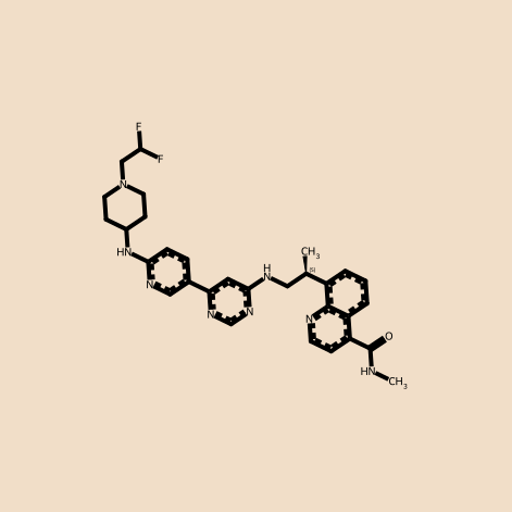 CNC(=O)c1ccnc2c([C@H](C)CNc3cc(-c4ccc(NC5CCN(CC(F)F)CC5)nc4)ncn3)cccc12